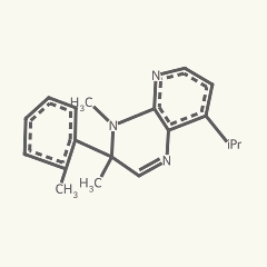 Cc1ccccc1C1(C)C=Nc2c(C(C)C)ccnc2N1C